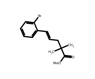 COC(=O)C(C)(C)CC=Cc1ccccc1Br